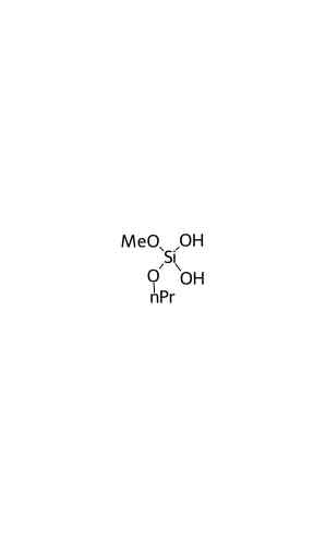 CCCO[Si](O)(O)OC